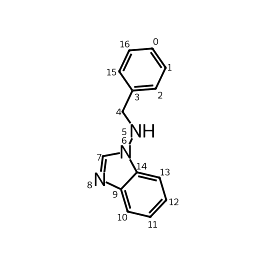 c1ccc(CNn2cnc3ccccc32)cc1